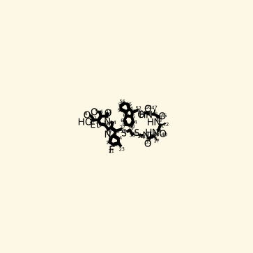 CC[C@@]1(O)C(=O)OCc2c1cc1n(c2=O)Cc2c-1nc1cc(F)c(C)cc1c2CSCCSCNC(=O)[C@H](C)NC(=O)[C@H](C)NC(=O)[C@H](C)NC(=O)OCC1c2ccccc2C2C=CC=CC21